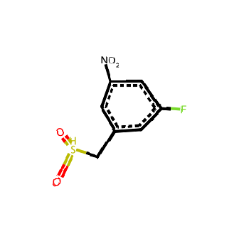 O=[N+]([O-])c1cc(F)cc(C[SH](=O)=O)c1